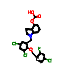 O=C(O)Oc1cccc2c1ccn2Cc1cc(Cl)cc(Cl)c1OCc1ccc(Cl)cc1F